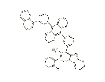 Cc1ccccc1-c1cc2c(oc3ccccc32)c(-c2cccc(-c3c4ccccc4c(-c4cccc(-c5cccc6ccccc56)c4)c4ccccc34)c2)c1C